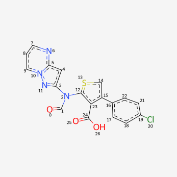 O=CN(c1cc2ncccn2n1)c1scc(-c2ccc(Cl)cc2)c1C(=O)O